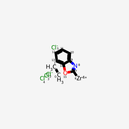 CC.[Cl-].[Cl-].[Cl-].[Cl-].[Zr+4][c]1nc2ccccc2o1